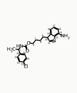 CC(NC(=O)OCCCCC1C=Nc2c(N)cccc21)c1ccc(Cl)cc1